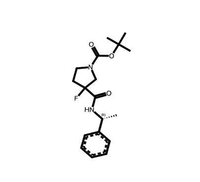 C[C@@H](NC(=O)C1(F)CCN(C(=O)OC(C)(C)C)C1)c1ccccc1